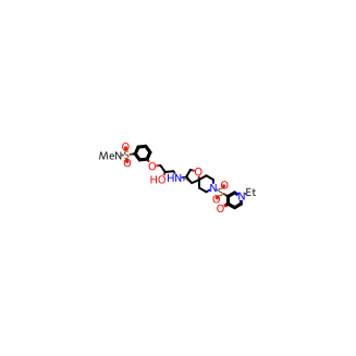 CCn1ccc(=O)c(S(=O)(=O)N2CCC3(CC2)C[C@@H](NCC(O)COc2cccc(S(=O)(=O)NC)c2)CO3)c1